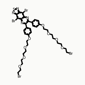 BrCCOCCOCCOCCOc1ccc(-c2nc3c(Br)c4nsnc4c(Br)c3nc2-c2ccc(OCCOCCOCCOCCBr)cc2)cc1